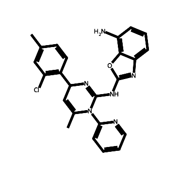 CC1=CC(c2ccc(C)cc2Cl)N=C(Nc2nc3cccc(N)c3o2)N1c1ccccn1